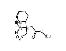 CC(C)(C)OC(=O)C[C@]1(C[N+](=O)[O-])C2CCC3C[C@H]2[C@H]1C3